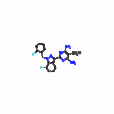 CCOC(=O)c1c(N)nc(-c2nn(Cc3ccccc3F)c3c(F)cccc23)nc1N